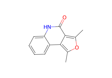 Cc1oc(C)c2c1c(=O)[nH]c1ccccc12